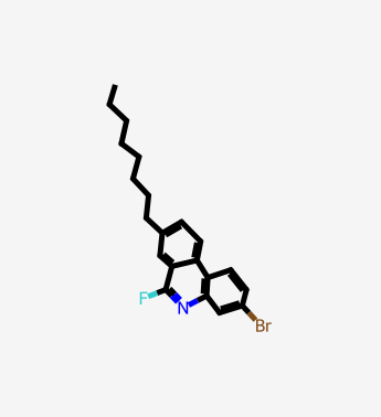 CCCCCCCCc1ccc2c(c1)c(F)nc1cc(Br)ccc12